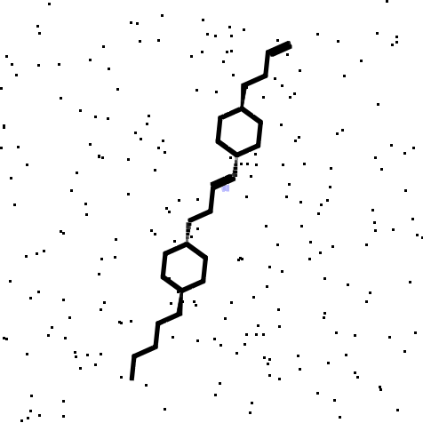 C=CCC[C@H]1CC[C@H](/C=C/CC[C@H]2CC[C@H](CCCCC)CC2)CC1